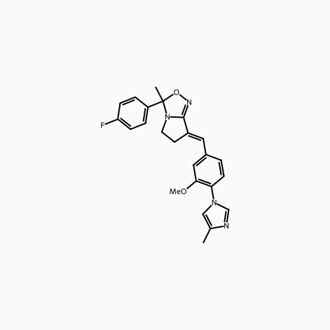 COc1cc(/C=C2\CCN3C2=NOC3(C)c2ccc(F)cc2)ccc1-n1cnc(C)c1